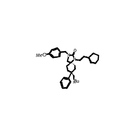 CCC(C)C[C@]1(c2ccccc2)CC[C@]2(CC1)CN(Cc1ccc(OC)cc1)C(=O)N2CCC1CCCCC1